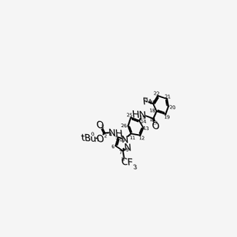 CC(C)(C)OC(=O)Nc1cc(C(F)(F)F)nn1-c1ccc(NC(=O)c2ccccc2F)cc1